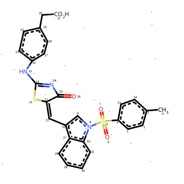 Cc1ccc(S(=O)(=O)n2cc(C=C3SC(Nc4ccc(CC(=O)O)cc4)=NC3=O)c3ccccc32)cc1